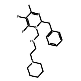 CC1=NC(Cc2ccccc2)N(CNCCN2CCCCC2)C(F)=C1F